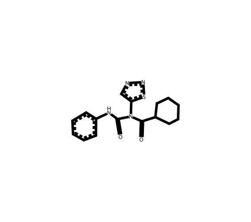 O=C(Nc1ccccc1)N(C(=O)C1CCCCC1)c1cnns1